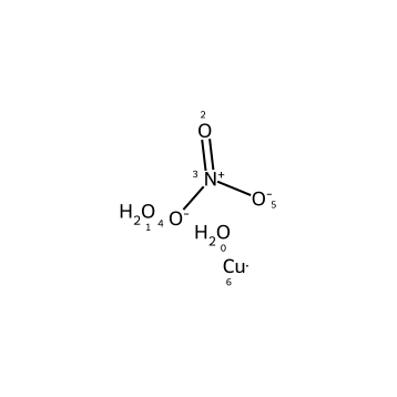 O.O.O=[N+]([O-])[O-].[Cu]